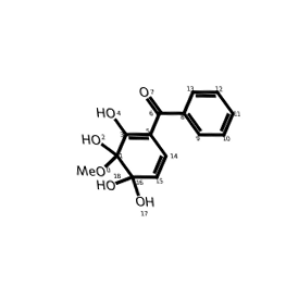 COC1(O)C(O)=C(C(=O)c2ccccc2)C=CC1(O)O